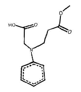 COC(=O)CCN(CC(=O)O)c1ccccc1